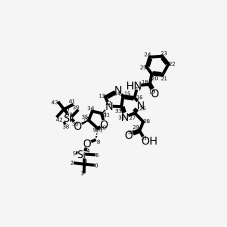 CC(C)(C)[Si](C)(C)OC[C@H]1O[C@@H](n2cnc3c(NC(=O)c4ccccc4)nc(CC(=O)O)nc32)C[C@@H]1O[Si](C)(C)C(C)(C)C